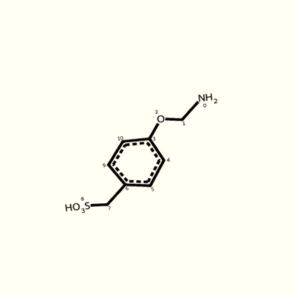 NCOc1ccc(CS(=O)(=O)O)cc1